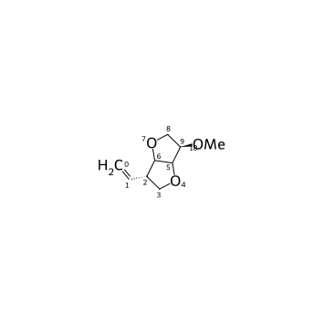 C=C[C@H]1COC2C1OC[C@H]2OC